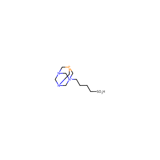 O=S(=O)(O)CCCC[N+]12CN3CN(CP(C3)C1)C2